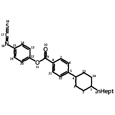 CCCCCCCC1CCC(c2ccc(C(=O)Oc3ccc(N=C=S)cc3)cc2)CC1